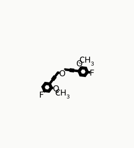 COc1cc(F)ccc1C#CCOCC#Cc1ccc(F)cc1OC